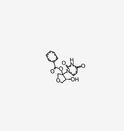 O=C(OC1(n2ccc(=O)[nH]c2=O)COC[C@@H]1O)c1ccccc1